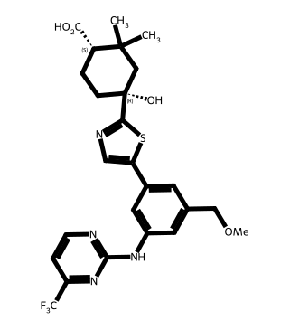 COCc1cc(Nc2nccc(C(F)(F)F)n2)cc(-c2cnc([C@@]3(O)CC[C@H](C(=O)O)C(C)(C)C3)s2)c1